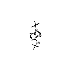 CC(C)(C)Nc1ncnc2c1ncn2C(C)(C)C